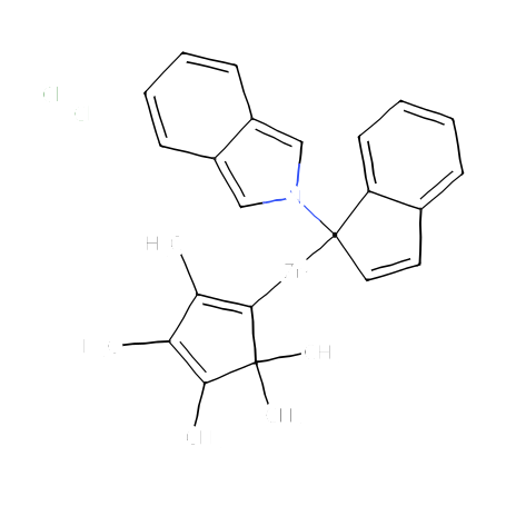 CC1=C(C)C(C)(C)[C]([Zr+2][C]2(n3cc4ccccc4c3)C=Cc3ccccc32)=C1C.[Cl-].[Cl-]